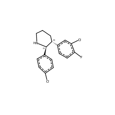 Fc1ccc([C@H]2CCCN[C@@H]2c2ccc(Cl)cc2)cc1Cl